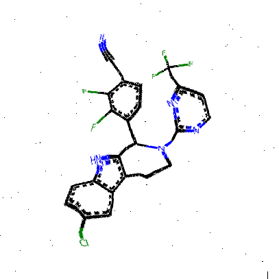 N#Cc1ccc(C2c3[nH]c4ccc(Cl)cc4c3CCN2c2nccc(C(F)(F)F)n2)c(F)c1F